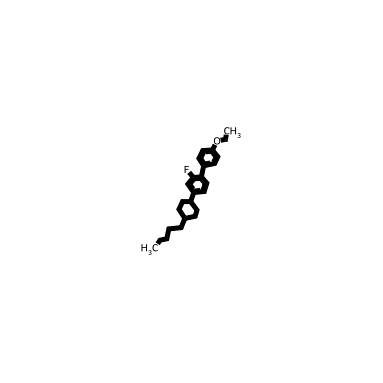 CCCCCC1CCC(c2ccc(-c3ccc(OCC)cc3)c(F)c2)CC1